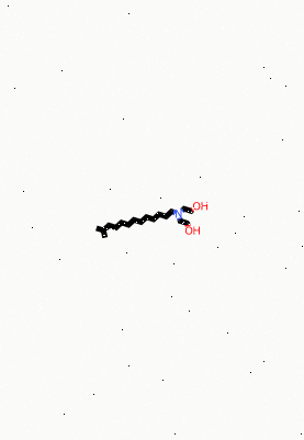 CC(C)CCCCCCCCCCCN(CCO)CCO